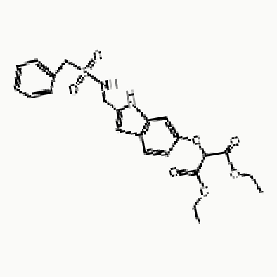 CCOC(=O)C(Oc1ccc2cc(CNS(=O)(=O)Cc3ccccc3)[nH]c2c1)C(=O)OCC